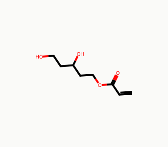 C=CC(=O)OCCC(O)CCO